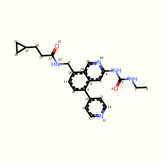 CCNC(=O)Nc1cc2c(-c3ccncc3)ccc(CNC(=O)CCC3CC3)c2cn1